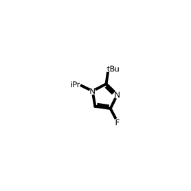 CC(C)n1cc(F)nc1C(C)(C)C